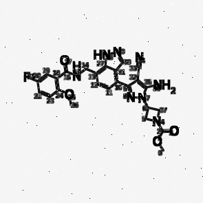 COC(=O)N1CC(n2nc(-c3ccc(CNC(=O)c4cc(F)ccc4OC)c4[nH]ncc34)c(C#N)c2N)C1